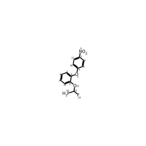 O=[N+]([O-])c1ccc(Oc2ccccc2OC(F)P)cc1